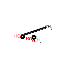 C=O.CCCCCCCCCCCCCCCc1cccc(O)c1.Oc1ccccc1